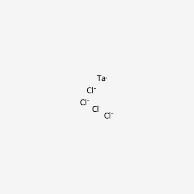 [Cl-].[Cl-].[Cl-].[Cl-].[Ta]